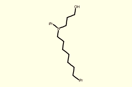 CC(C)CCCCCCCN(CCCO)C(C)C